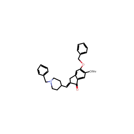 COc1cc2c(cc1OCc1ccccc1)C/C(=C\C1CCN(Cc3ccccc3)CC1)C2=O